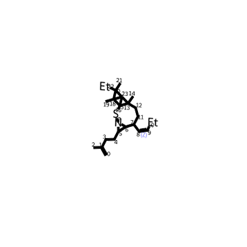 C=C(C)CCC1C2C(/C=C\CC)CCC3(C)C4(SN12)C1(C)C(C)(CC)C314